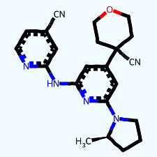 C[C@@H]1CCCN1c1cc(C2(C#N)CCOCC2)cc(Nc2cc(C#N)ccn2)n1